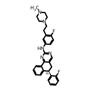 CN1CCN(CCc2cc(Nc3ncc4c(n3)-c3ccccc3[C@H](c3ccccc3F)C4)ccc2F)CC1